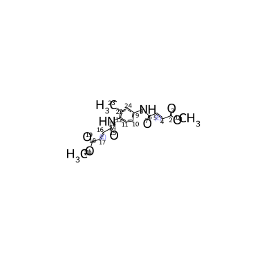 COC(=O)/C=C/C(=O)Nc1ccc(NC(=O)/C=C/C(=O)OC)c(C)c1